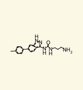 Cc1ccc(-c2ccc3c(NC(=O)NCCCN)n[nH]c3c2)cc1